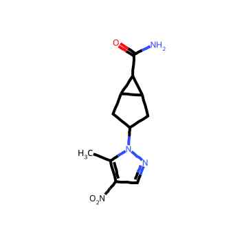 Cc1c([N+](=O)[O-])cnn1C1CC2C(C1)C2C(N)=O